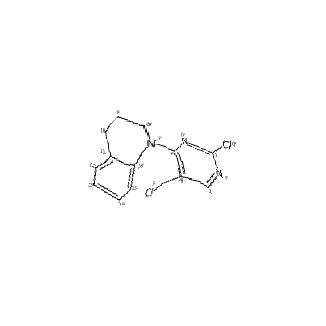 Clc1ncc(Cl)c(N2CCCc3ccccc32)n1